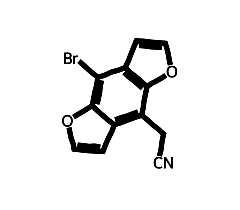 N#CCc1c2ccoc2c(Br)c2ccoc12